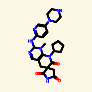 CN1C2=C(C=NC1Nc1ccc(N3CCNCC3)cn1)CC1(CC(=O)NC1=O)C(=O)N2C1CCCC1